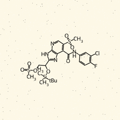 CC(C)(C)[Si](C)(C)OC(COS(C)(=O)=O)c1nc2c(C(=O)Nc3ccc(F)c(Cl)c3)c(S(C)(=O)=O)cnc2[nH]1